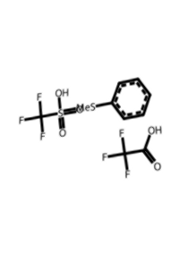 CSc1ccccc1.O=C(O)C(F)(F)F.O=S(=O)(O)C(F)(F)F